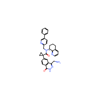 NCc1n[nH]c(=O)c2ccc(C3(C(=O)N(Cc4ccc(-c5ccccc5)cn4)[C@H]4CCCc5cccnc54)CC3)cc12